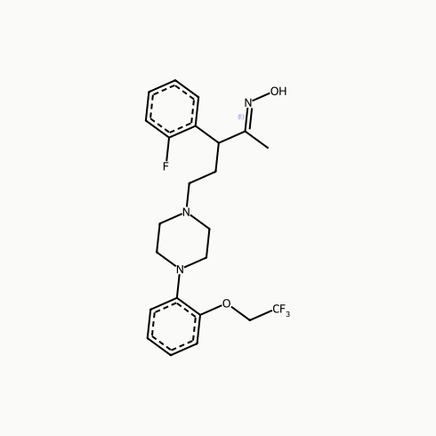 C/C(=N\O)C(CCN1CCN(c2ccccc2OCC(F)(F)F)CC1)c1ccccc1F